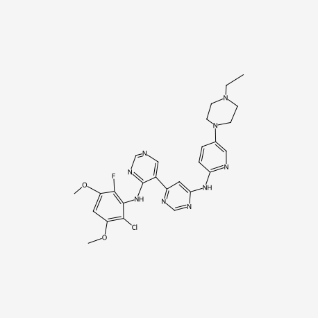 CCN1CCN(c2ccc(Nc3cc(-c4cncnc4Nc4c(F)c(OC)cc(OC)c4Cl)ncn3)nc2)CC1